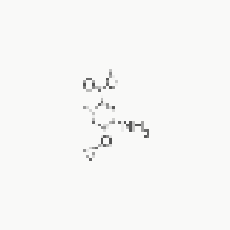 COC(=O)c1cc(N)c(OC2CC2)cc1C